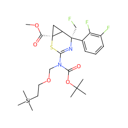 COC(=O)[C@]12CC1[C@@](CF)(c1cccc(F)c1F)N=C(N(COCC[Si](C)(C)C)C(=O)OC(C)(C)C)S2